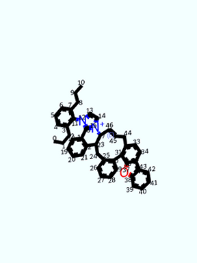 CCCc1cccc(CCC)c1-n1cc[n+]2c1-c1ccccc1C1Cc3ccccc3-c3c(ccc4c3oc3ccccc34)C/C=C/C12